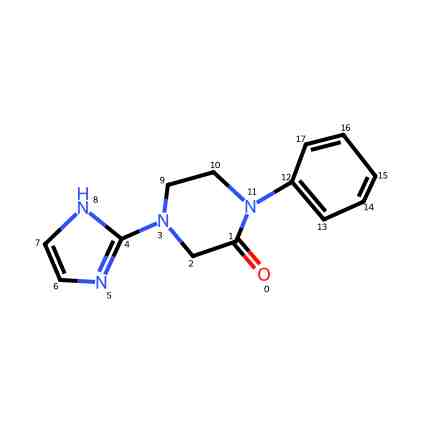 O=C1CN(c2ncc[nH]2)CCN1c1ccccc1